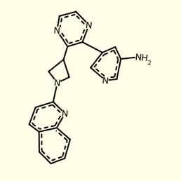 Nc1cncc(-c2nccnc2C2CN(c3ccc4ccccc4n3)C2)c1